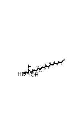 CCCCCCCCCCCCCCCC(O)NCCO